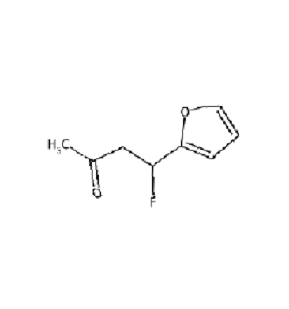 CC(=O)CC(F)c1ccco1